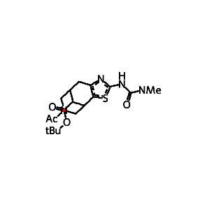 CNC(=O)Nc1nc2c(s1)C1CN(C(C)=O)CC(C2)C1C(=O)OC(C)(C)C